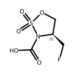 O=C(O)N1[C@H](CF)COS1(=O)=O